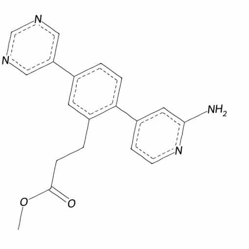 COC(=O)CCc1cc(-c2cncnc2)ccc1-c1ccnc(N)c1